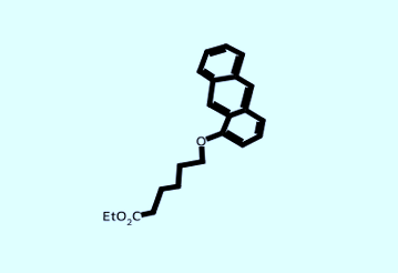 CCOC(=O)CCCCCOc1cccc2cc3ccccc3cc12